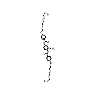 C=COCCCCCCOc1ccc(C(=O)Oc2ccc(OC(=O)c3ccc(OCCCCCCOC=C)cc3)c(C)c2)cc1